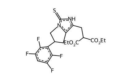 CCOC(=O)C(Cc1[nH]c(=S)n2c1CC(c1c(F)c(F)cc(F)c1F)C2)C(=O)OCC